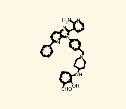 Nc1ncccc1-c1nc2ccc(-c3ccccc3)nc2n1-c1ccc(CN2CCC(Nc3cccc(C=O)c3O)CC2)cc1